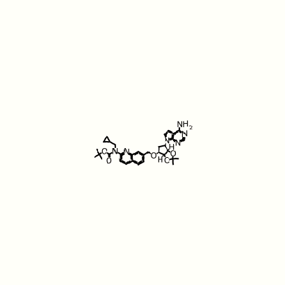 CC(C)(C)OC(=O)N(CC1CC1)c1ccc2ccc(CO[C@H]3C[C@@H](n4ccc5c(N)ncnc54)[C@@H]4OC(C)(C)O[C@@H]43)cc2n1